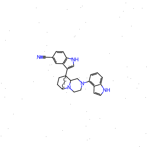 N#Cc1ccc2[nH]cc(C34CCC(CC3)N3CCN(c5cccc6[nH]ccc56)CC34)c2c1